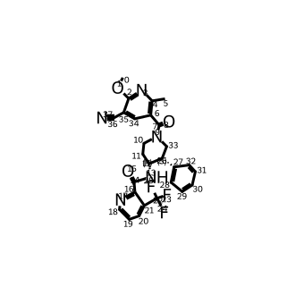 COc1nc(C)c(C(=O)N2CC[C@@H](NC(=O)c3ncccc3C(F)(F)F)[C@@H](c3ccccc3)C2)cc1C#N